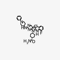 NC(=O)[C@H]1CC[C@@H](n2c(Nc3c(F)cccc3Cl)nc3cnc(NC4CCN(c5ccccc5)CC4)nc32)CC1